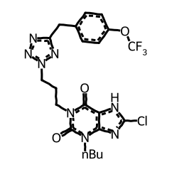 CCCCn1c(=O)n(CCCn2nnc(Cc3ccc(OC(F)(F)F)cc3)n2)c(=O)c2[nH]c(Cl)nc21